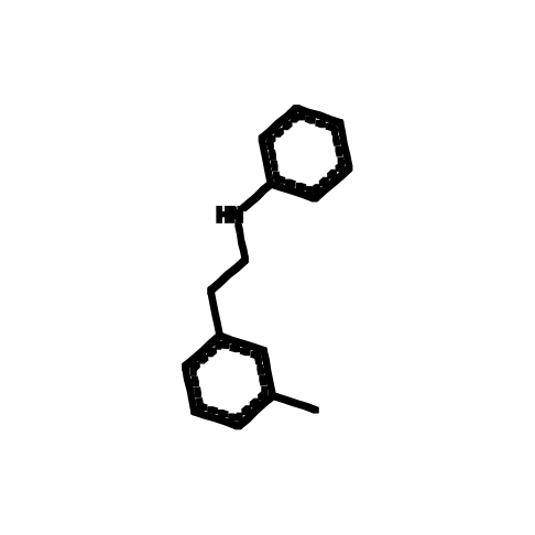 Cc1cccc(CCNc2ccccc2)c1